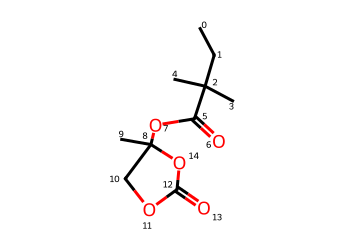 CCC(C)(C)C(=O)OC1(C)COC(=O)O1